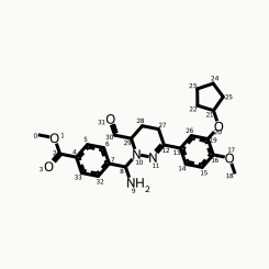 COC(=O)c1ccc(C(N)N2N=C(c3ccc(OC)c(OC4CCCC4)c3)CCC2C=O)cc1